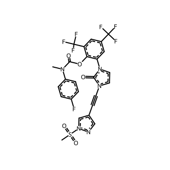 CN(C(=O)Oc1c(-n2ccn(C#Cc3cnn(S(C)(=O)=O)c3)c2=O)cc(C(F)(F)F)cc1C(F)(F)F)c1ccc(F)cc1